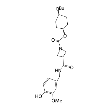 CCCC[C@H]1CC[C@@H](OC(=O)N2CC(C(=O)NCc3ccc(O)c(OC)c3)C2)CC1